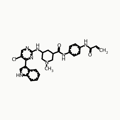 C=CC(=O)Nc1ccc(NC(=O)C2CC(Nc3ncc(Cl)c(-c4c[nH]c5ccccc45)n3)CN(C)C2)cc1